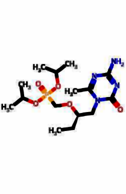 CC[C@H](Cn1c(C)nc(N)nc1=O)OCP(=O)(OC(C)C)OC(C)C